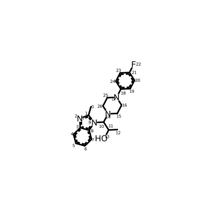 Cc1nc2ccccc2n1C(C(C)O)N1CCN(c2ccc(F)cc2)CC1